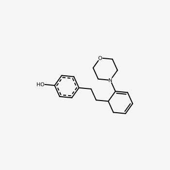 Oc1ccc(CCC2CC=CC=C2N2CCOCC2)cc1